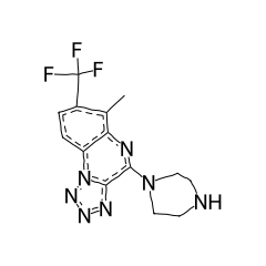 Cc1c(C(F)(F)F)ccc2c1nc(N1CCNCC1)c1nnnn12